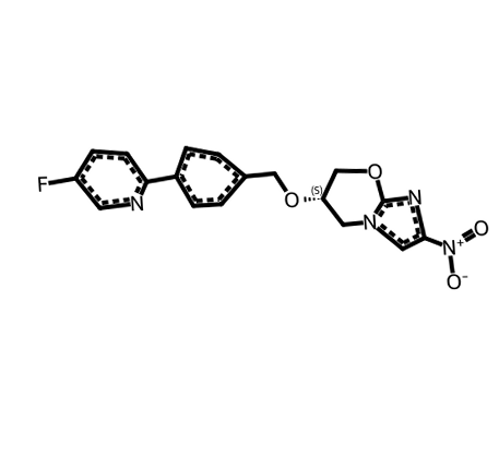 O=[N+]([O-])c1cn2c(n1)OC[C@@H](OCc1ccc(-c3ccc(F)cn3)cc1)C2